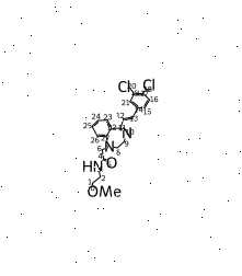 COCCNC(=O)CN1CCN=C(C=Cc2ccc(Cl)c(Cl)c2)c2ccccc21